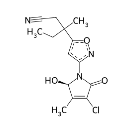 CCC(C)(CC#N)c1cc(N2C(=O)C(Cl)=C(C)[C@H]2O)no1